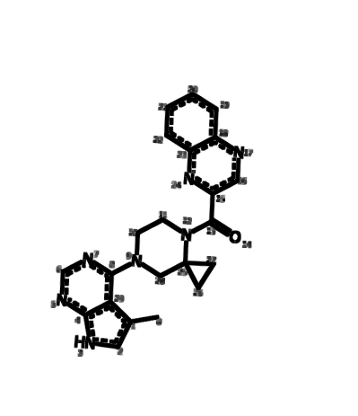 Cc1c[nH]c2ncnc(N3CCN(C(=O)c4cnc5ccccc5n4)C4(CC4)C3)c12